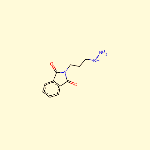 NNCCCN1C(=O)c2ccccc2C1=O